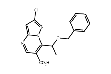 CC(OCc1ccccc1)c1c(C(=O)O)cnc2cc(Cl)nn12